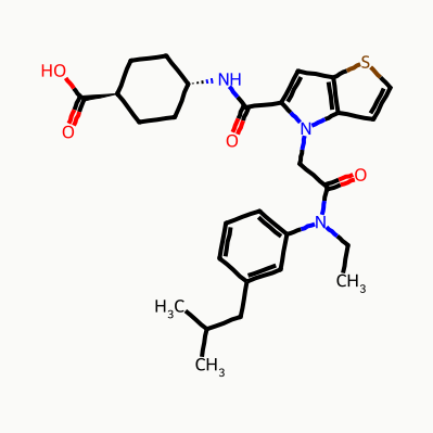 CCN(C(=O)Cn1c(C(=O)N[C@H]2CC[C@H](C(=O)O)CC2)cc2sccc21)c1cccc(CC(C)C)c1